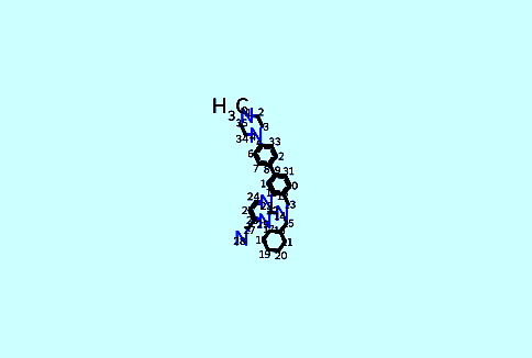 CN1CCN(c2ccc(-c3ccc(CN(CC4CCCCC4)c4nccc(C#N)n4)cc3)cc2)CC1